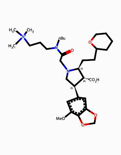 CCCCN(CCC[N+](C)(C)C)C(=O)CN1C[C@H](c2cc(OC)c3c(c2)OCO3)[C@@H](C(=O)O)[C@@H]1CCC1CCCCO1